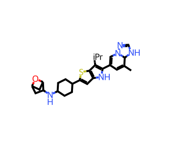 CC1=CC(c2[nH]c3cc(C4CCC(NC5CC6CC5O6)CC4)sc3c2C(C)C)=CN2N=CNC12